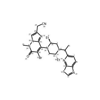 CC[C@H]1CN(C(C)c2ccc3ncsc3n2)[C@H](CC)CN1c1c(Br)c(=O)n(C)n2cc(CC#N)nc12